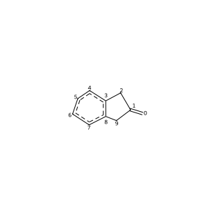 C=C1Cc2ccccc2C1